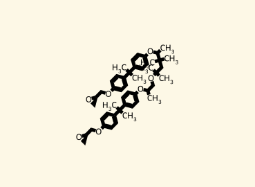 CC(COC(C)(C)CC(C)(C)C(C)Oc1ccc(C(C)(C)c2ccc(OCC3CO3)cc2)cc1)Oc1ccc(C(C)(C)c2ccc(OCC3CO3)cc2)cc1